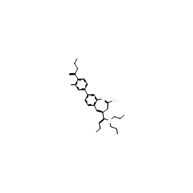 C=C(CCC)c1ccc(-c2ccc3c(c2)N=C(N)CC(C(=CCC)N(CCC)CCC)=C3)cc1F